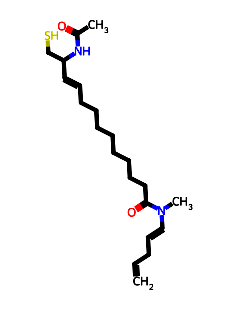 C=CC/C=C/N(C)C(=O)CCCCCCCC/C=C/C(CS)NC(C)=O